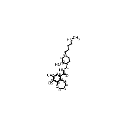 CNCCCCN1CC[C@@H](CNC(=O)c2cc(Cl)c(Cl)c3c2OCCCO3)[C@H](O)C1